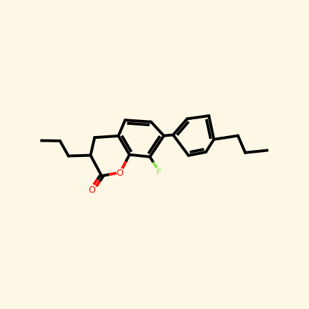 CCCc1ccc(-c2ccc3c(c2F)OC(=O)C(CCC)C3)cc1